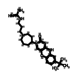 CC(C)(C)c1ccc2c(c1)Nc1nc(=O)n(C3CCCN(CCCNC(=N)N)CC3)cc1O2